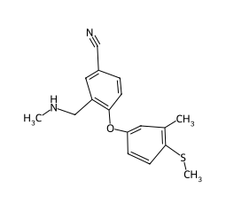 CNCc1cc(C#N)ccc1Oc1ccc(SC)c(C)c1